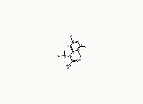 Cc1cc(C)c(C)c(N(C(=O)O)C(C)(C)C)c1